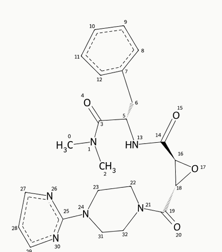 CN(C)C(=O)[C@H](Cc1ccccc1)NC(=O)[C@H]1O[C@@H]1C(=O)N1CCN(c2ncccn2)CC1